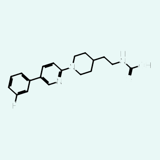 O=C(O)NCCC1CCN(c2ccc(-c3cccc(F)c3)cn2)CC1